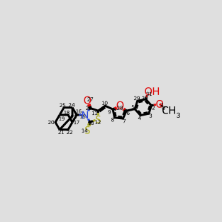 COc1ccc(-c2ccc(/C=C3\SC(=S)N(C4C5CC6CC(C5)CC4C6)C3=O)o2)cc1O